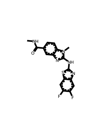 CNC(=O)c1ccc2c(c1)nc(Nc1nc3cc(F)c(F)cc3s1)n2C